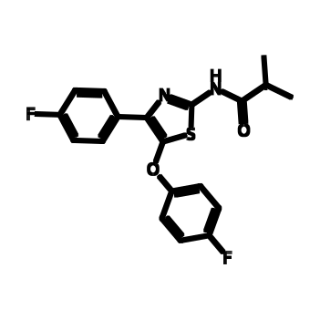 C[C](C)C(=O)Nc1nc(-c2ccc(F)cc2)c(Oc2ccc(F)cc2)s1